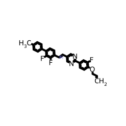 C=CCOc1ccc(-c2ncc(/C=C/c3ccc(-c4ccc(C)cc4)c(F)c3F)cn2)cc1F